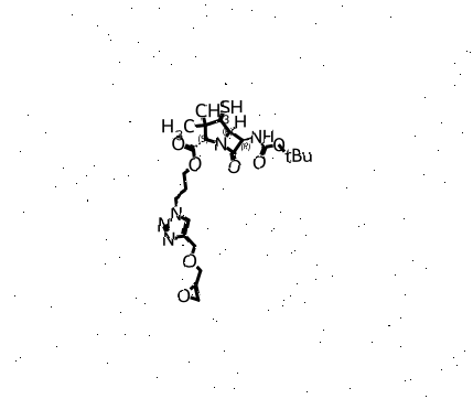 CC(C)(C)OC(=O)N[C@H]1C(=O)N2[C@H]1C(S)C(C)(C)[C@H]2C(=O)OCCCn1cc(COCC2CO2)nn1